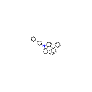 c1ccc(-c2ccc(-n3c4ccccc4c4c5c(ccc43)-c3ccccc3C53C4CC5CC(C4)CC3C5)cc2)cc1